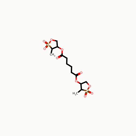 CC1C(OC(=O)CCCCC(=O)OC2COS(=O)(=O)C2C)COS1(=O)=O